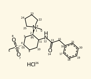 C[N+]1([C@@H]2C[C@@H](S(C)(=O)=O)CCC2NC(=O)Cc2ccccc2)CCCC1.Cl